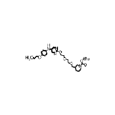 C=CCOc1ccc(Nc2cnc(OCCOCCOCC3CCCN(C(=O)OC(C)(C)C)C3)nc2)cc1